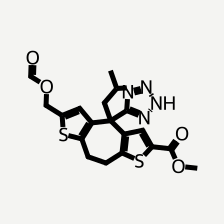 COC(=O)c1cc2c(s1)CCc1sc(COC=O)cc1C2(CC(C)C)c1nn[nH]n1